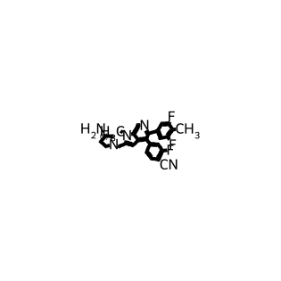 Cc1c(F)cc(-c2ncc3c(cc(CN4CC[C@H](N)C4)n3C)c2-c2ccc(C#N)c(F)c2)cc1F